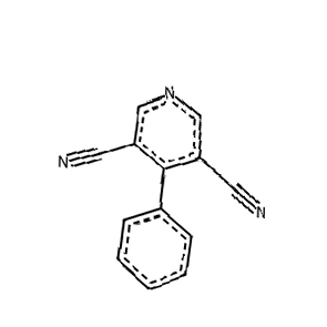 N#Cc1cncc(C#N)c1-c1ccccc1